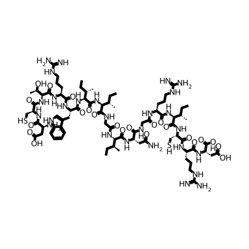 CC[C@H](C)[C@H](NC(=O)CNC(=O)[C@@H](NC(=O)[C@@H](NC(=O)[C@H](Cc1c[nH]c2ccccc12)NC(=O)[C@H](CCCNC(=N)N)NC(=O)[C@@H](NC(=O)[C@H](CS)NC(=O)[C@@H](N)CC(=O)O)[C@@H](C)O)[C@@H](C)CC)[C@@H](C)CC)C(=O)N[C@@H](CC(N)=O)C(=O)NCC(=O)N[C@@H](CCCNC(=N)N)C(=O)N[C@H](C(=O)N[C@@H](CS)C(=O)N[C@@H](CCCNC(=N)N)C(=O)N[C@@H](CC(=O)O)C(=O)O)[C@@H](C)CC